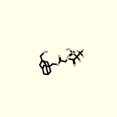 O=C(COC(=O)C(F)(C(F)(F)F)S(=O)(=O)O)OCC12CC3CC(CC(CO)(C3)C1)C2